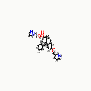 O[C@]1(COCCn2cccn2)CC[C@@]2(Cc3ccccc3)c3ccc(OCc4cccnc4)cc3CC[C@@H]2C1